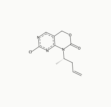 C=CC[C@H](C)N1C(=O)OCc2cnc(Cl)nc21